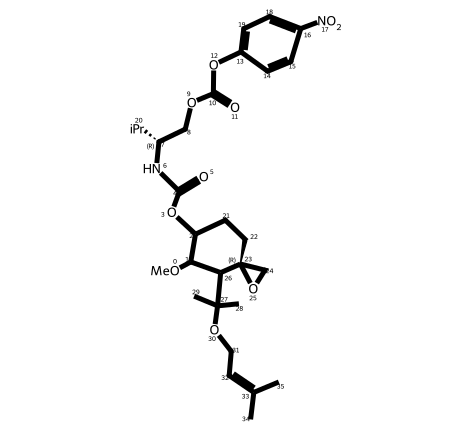 COC1C(OC(=O)N[C@@H](COC(=O)Oc2ccc([N+](=O)[O-])cc2)C(C)C)CC[C@]2(CO2)C1C(C)(C)OCC=C(C)C